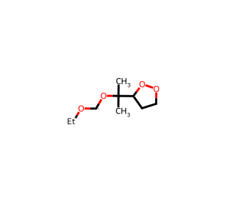 CCO[CH]OC(C)(C)C1CCOO1